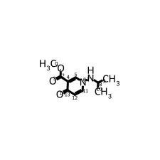 COC(=O)c1cn(NC(C)C)ccc1=O